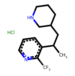 CC(CC1CCCNC1)c1cccnc1C(F)(F)F.Cl